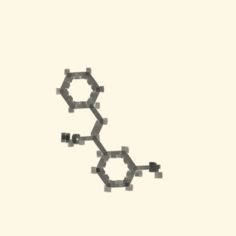 C/C(=C\c1ccccc1)c1cccc(Br)c1